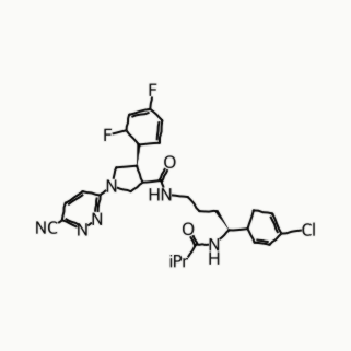 CC(C)C(=O)N[C@@H](CCCNC(=O)C1CN(c2ccc(C#N)nn2)C[C@H]1C1C=CC(F)=CC1F)C1C=CC(Cl)=CC1